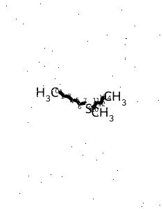 CCCCCCCCSC(C)CCCC